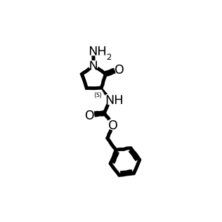 NN1CC[C@H](NC(=O)OCc2ccccc2)C1=O